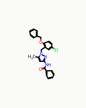 Cc1cc(NC(=O)c2ccccc2)nn1Cc1cc(Cl)ccc1OCc1ccccc1